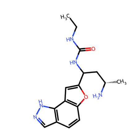 CCNC(=O)NC(C[C@H](C)N)c1cc2c(ccc3cn[nH]c32)o1